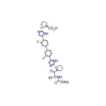 COC(=O)N[C@H](C(=O)N1CCC[C@H]1c1ncc(-c2ccc(-c3ccc(-c4cnc([C@@H]5CCCN5C(=O)O)[nH]4)c(F)c3)cc2F)[nH]1)C(C)C